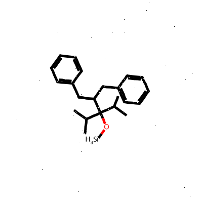 CC(C)C(O[SiH3])(C(C)C)C(Cc1ccccc1)Cc1ccccc1